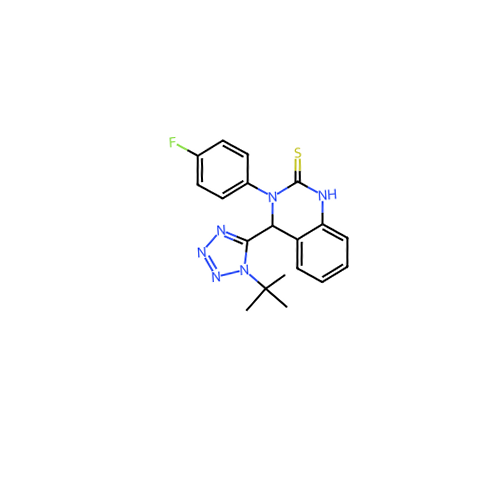 CC(C)(C)n1nnnc1C1c2ccccc2NC(=S)N1c1ccc(F)cc1